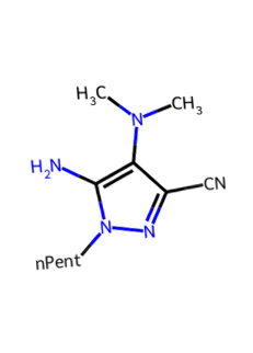 CCCCCn1nc(C#N)c(N(C)C)c1N